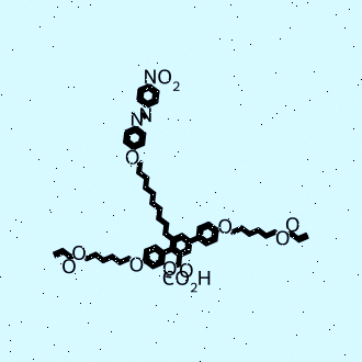 C=CC(=O)OCCCCCCOc1ccc(-c2cc(CCCCCCCCCCOc3ccc(N=Nc4ccc([N+](=O)[O-])cc4)cc3)c(-c3ccc(OCCCCCCOC(=O)C=C)cc3)c(C(=O)OC(=O)O)c2)cc1